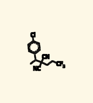 CC(c1ccc(Cl)cc1)C(C#N)(C#N)CCC(F)(F)F